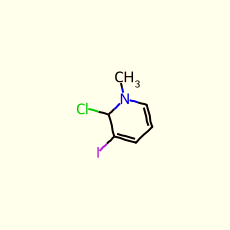 CN1C=CC=C(I)C1Cl